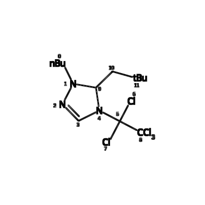 CCCCN1N=CN(C(Cl)(Cl)C(Cl)(Cl)Cl)C1CC(C)(C)C